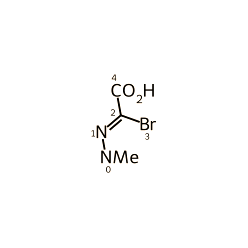 CNN=C(Br)C(=O)O